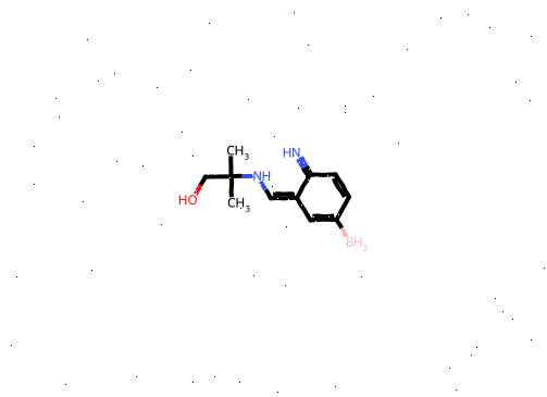 BC1=C/C(=C/NC(C)(C)CO)C(=N)C=C1